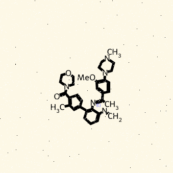 C=NC1=CCCC(c2ccc(C(=O)N3CCOCC3)c(C)c2)=C1/N=C(\C)c1ccc(N2CCN(C)CC2)c(OC)c1